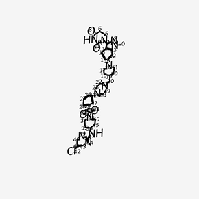 Cn1nc(N2CCC(=O)NC2=O)c2ccc(N3CCC(CN4CCN(c5cccc(S(=O)(=O)N6CCC(Nc7ncc(Cl)cn7)CC6)c5)CC4)CC3)cc21